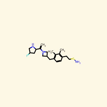 C=C(C1CC(F)CN1)N1CC(Cc2ccc(CCSN)c(C)c2C)C1